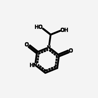 O=c1cc[nH]c(=O)n1C(O)O